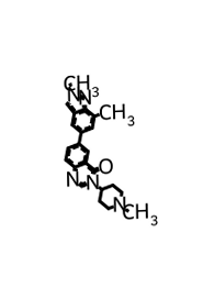 Cc1cc(-c2ccc3ncn(C4CCN(C)CC4)c(=O)c3c2)cc2cn(C)nc12